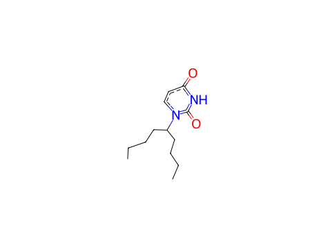 CCCCC(CCCC)n1ccc(=O)[nH]c1=O